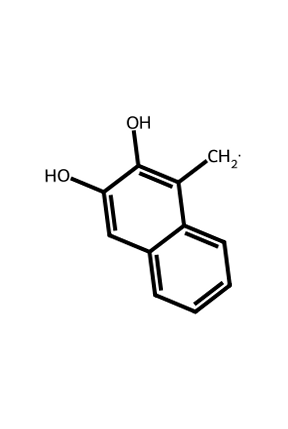 [CH2]c1c(O)c(O)cc2ccccc12